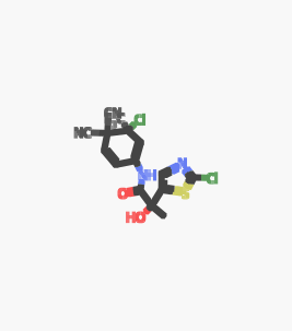 CC(O)(C(=O)NC1=CC(Cl)(C(F)(F)F)C(C#N)(C#N)C=C1)c1cnc(Cl)s1